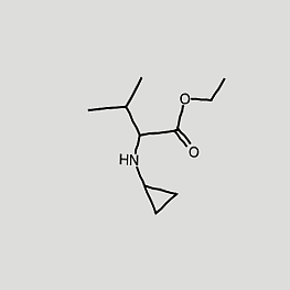 CCOC(=O)C(NC1CC1)C(C)C